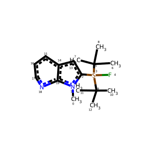 Cn1c(S(F)(C(C)(C)C)C(C)(C)C)cc2cccnc21